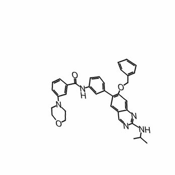 CC(C)Nc1ncc2cc(-c3cccc(NC(=O)c4cccc(N5CCOCC5)c4)c3)c(OCc3ccccc3)cc2n1